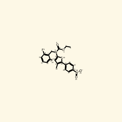 CCOC(=O)N(Cc1c(F)cccc1F)c1cc(C)c(-c2ccc([N+](=O)[O-])cc2)s1